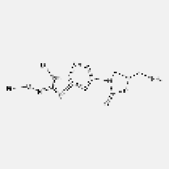 CCON=c1sc2cc(N3CC(CN)OC3=O)ccc2n1CC